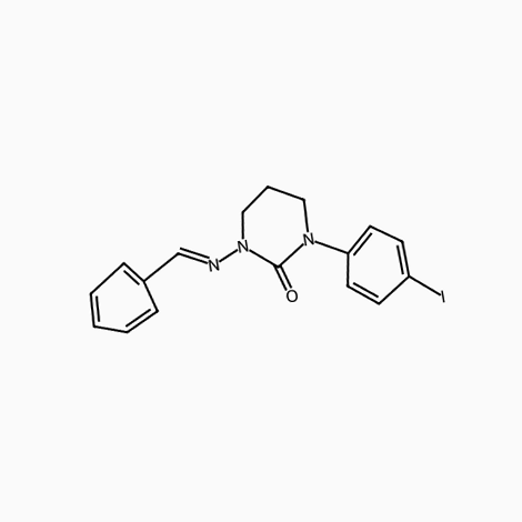 O=C1N(N=Cc2ccccc2)CCCN1c1ccc(I)cc1